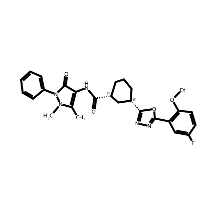 CCOc1ccc(F)cc1-c1nnc([C@H]2CCC[C@@H](C(=O)Nc3c(C)n(C)n(-c4ccccc4)c3=O)C2)o1